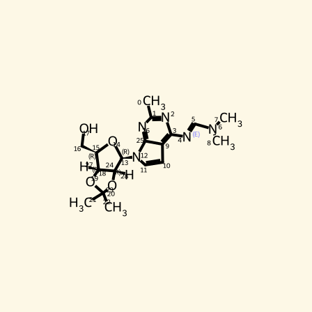 Cc1nc(/N=C/N(C)C)c2ccn([C@@H]3O[C@H](CO)[C@H]4OC(C)(C)O[C@H]43)c2n1